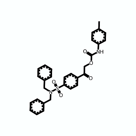 Cc1ccc(NC(=O)OCC(=O)c2ccc(S(=O)(=O)N(Cc3ccccc3)Cc3ccccc3)cc2)cc1